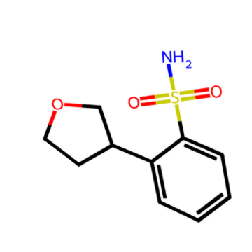 NS(=O)(=O)c1ccccc1C1CCOC1